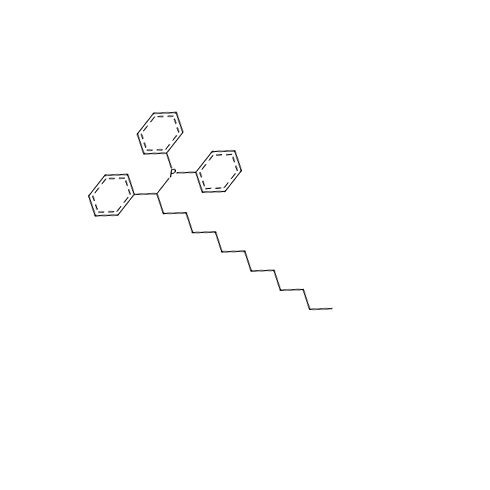 CCCCCCCCCCCCC(c1ccccc1)P(c1ccccc1)c1ccccc1